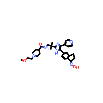 COCCN1CCC(C(=O)NCC(C)(C)c2nc(-c3ccncc3)c(-c3ccc4c(c3)CCC4=NO)[nH]2)CC1